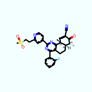 C[C@H]1C(=O)C(C#N)=C[C@@]2(C)c3nc(-c4ccnc(CCS(C)(=O)=O)c4)nc(-c4ccccc4F)c3CC[C@H]12